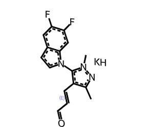 Cc1nn(C)c(-n2ccc3cc(F)c(F)cc32)c1/C=C/C=O.[KH]